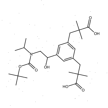 CC(C)N(CC(O)c1cc(CC(C)(C)C(=O)O)cc(CC(C)(C)C(=O)O)c1)C(=O)OC(C)(C)C